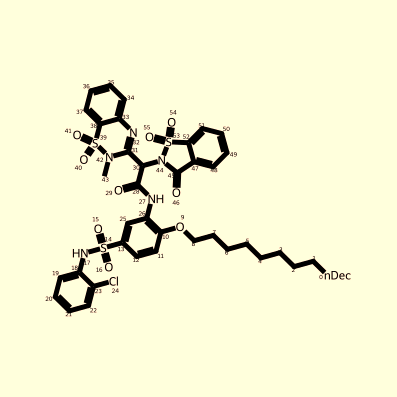 CCCCCCCCCCCCCCCCCCOc1ccc(S(=O)(=O)Nc2ccccc2Cl)cc1NC(=O)C(C1=Nc2ccccc2S(=O)(=O)N1C)N1C(=O)c2ccccc2S1(=O)=O